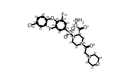 NOC(=O)[C@H]1CN(C(=O)CN2CCOCC2)CCN1S(=O)(=O)c1cc(F)c(Oc2ccc(Cl)cc2)c(F)c1